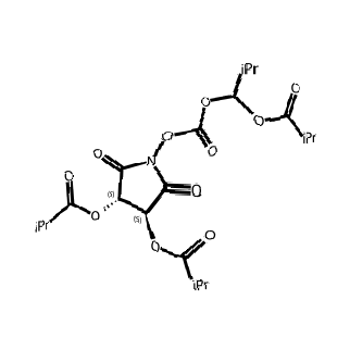 CC(C)C(=O)OC(OC(=O)ON1C(=O)[C@@H](OC(=O)C(C)C)[C@H](OC(=O)C(C)C)C1=O)C(C)C